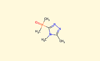 Cc1nnc(P(C)(C)=O)n1C